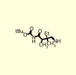 CC[C@](C)(C=N)C(C)C(=O)NC(=O)OC(C)(C)C